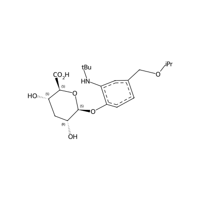 CC(C)OCc1ccc(O[C@@H]2O[C@H](C(=O)O)[C@@H](O)C[C@H]2O)c(NC(C)(C)C)c1